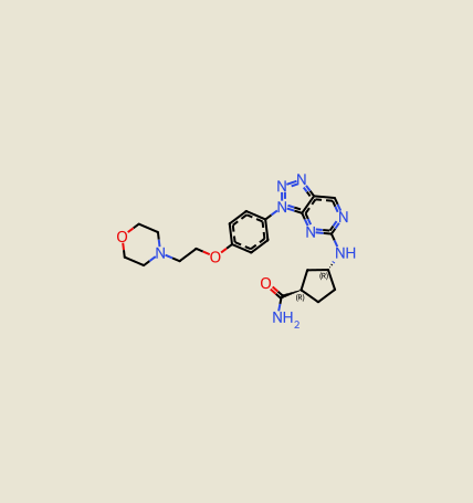 NC(=O)[C@@H]1CC[C@@H](Nc2ncc3nnn(-c4ccc(OCCN5CCOCC5)cc4)c3n2)C1